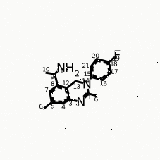 CC1=Nc2cc(C)cc(C(C)N)c2CN1c1ccc(F)cc1